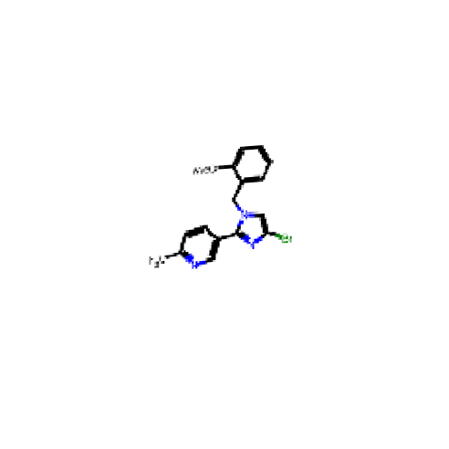 COc1ccccc1Cn1cc(Br)nc1-c1ccc(C(F)(F)F)nc1